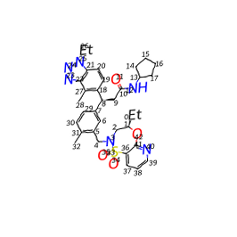 CC[C@@H]1CN(Cc2cc([C@H](CC(=O)NC3CCCC3)c3ccc4c(nnn4CC)c3C)ccc2C)S(=O)(=O)c2cccnc2O1